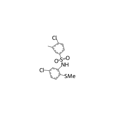 CSc1ccc(Cl)cc1NS(=O)(=O)c1ccc(Cl)c(C)c1